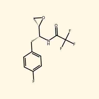 O=C(N[C@H](Cc1ccc(F)cc1)[C@@H]1CO1)C(F)(F)F